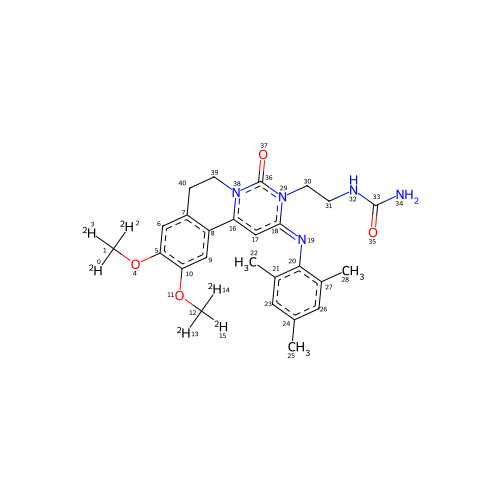 [2H]C([2H])([2H])Oc1cc2c(cc1OC([2H])([2H])[2H])-c1c/c(=N\c3c(C)cc(C)cc3C)n(CCNC(N)=O)c(=O)n1CC2